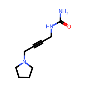 NC(=O)NCC#CCN1CCCC1